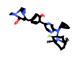 Cn1cnc(-c2ccc(-c3cnc(N(C4CC4)[C@H]4C[C@@H]5CC[C@@H](N5)[C@H]4F)cn3)c(O)c2)cc1=O